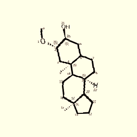 CO[C@H]1C[C@@]2(C)C(CC[C@H]3C4CCC[C@@]4(C)CCC32)C[C@@H]1O